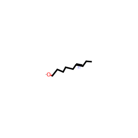 CC/C=C/CCCCC[O]